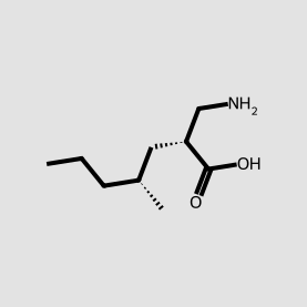 CCC[C@@H](C)C[C@H](CN)C(=O)O